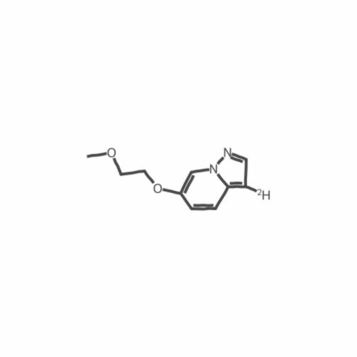 [2H]c1cnn2cc(OCCOC)ccc12